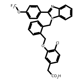 O=C(O)Cc1ccc(Cl)c(OCc2ccccc2Cn2c(-c3ccc(OC(F)(F)F)cc3)nc3ccccc32)c1